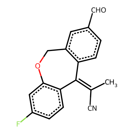 CC(C#N)=C1c2ccc(C=O)cc2COc2cc(F)ccc21